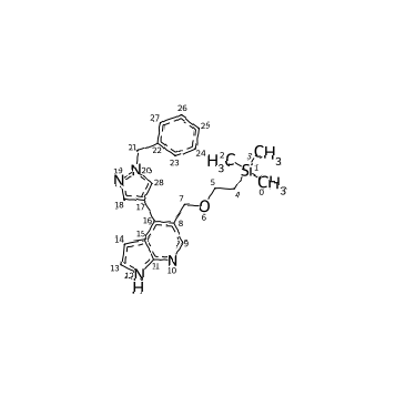 C[Si](C)(C)CCOCc1cnc2[nH]ccc2c1-c1cnn(Cc2ccccc2)c1